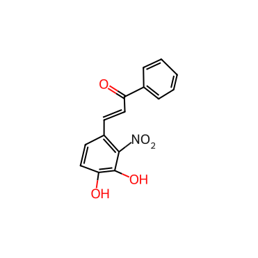 O=C(C=Cc1ccc(O)c(O)c1[N+](=O)[O-])c1ccccc1